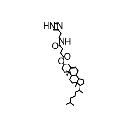 CC(C)CCCC(C)C1CCC2C3CC=C4CC(OC(=O)CCC(=O)NCCc5c[nH]cn5)CC[C@@]4(C)C3CCC12C